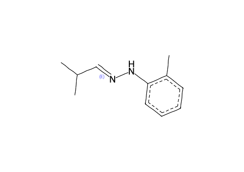 Cc1ccccc1N/N=C/C(C)C